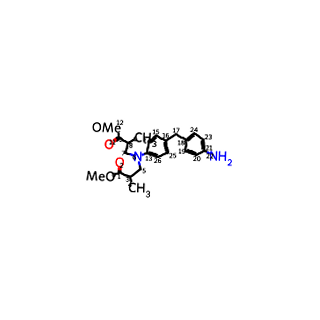 COC(=O)C(C)CN(CC(C)C(=O)OC)c1ccc(Cc2ccc(N)cc2)cc1